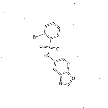 O=S(=O)(Nc1ccc2ocnc2c1)c1ccccc1Br